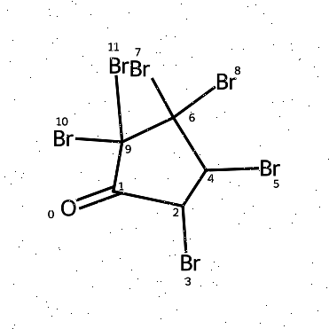 O=C1C(Br)C(Br)C(Br)(Br)C1(Br)Br